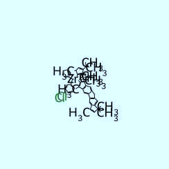 CC1=CC(C)(C)c2cc3c(cc21)-c1cc2c(cc1C3)C(C)(C)[C]([Zr+2]([C]1=C(C)C(C(C)C)=CC1C)=[C](c1ccccc1)c1ccccc1)=C2C.[Cl-].[Cl-]